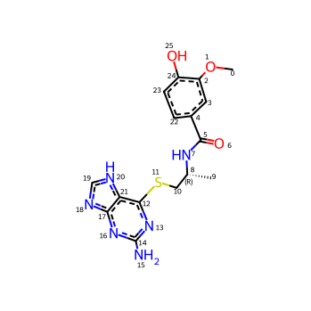 COc1cc(C(=O)N[C@H](C)CSc2nc(N)nc3nc[nH]c23)ccc1O